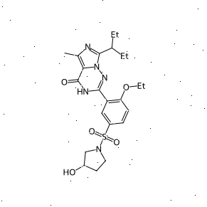 CCOc1ccc(S(=O)(=O)N2CCC(O)C2)cc1-c1nn2c(C(CC)CC)nc(C)c2c(=O)[nH]1